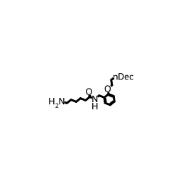 CCCCCCCCCCCCOc1ccccc1CNC(=O)CCCCCN